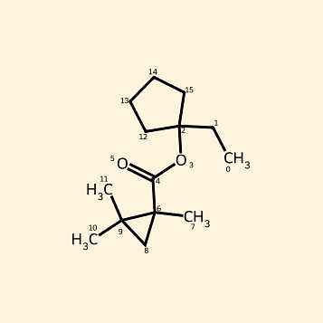 CCC1(OC(=O)C2(C)CC2(C)C)CCCC1